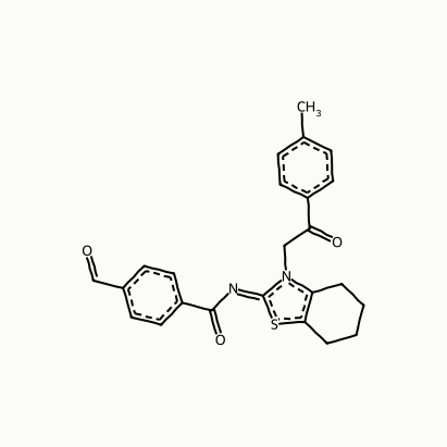 Cc1ccc(C(=O)Cn2c3c(s/c2=N\C(=O)c2ccc(C=O)cc2)CCCC3)cc1